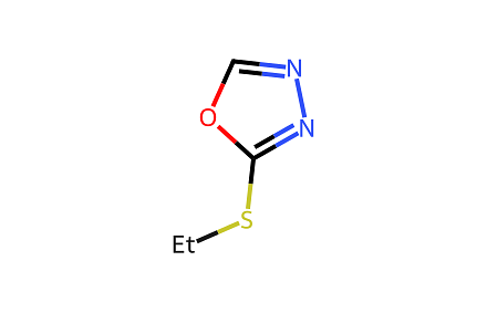 CCSc1nnco1